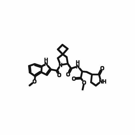 COC(=O)C(CC1CCNC1=O)NC(=O)C1CC2(CCC2)CN1C(=O)c1cc2c(OC)cccc2[nH]1